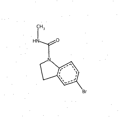 CNC(=O)N1CCc2cc(Br)ccc21